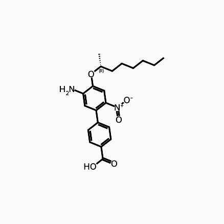 CCCCCC[C@@H](C)Oc1cc([N+](=O)[O-])c(-c2ccc(C(=O)O)cc2)cc1N